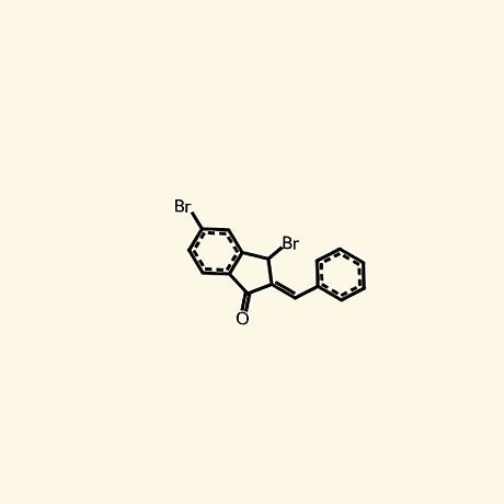 O=C1/C(=C/c2ccccc2)C(Br)c2cc(Br)ccc21